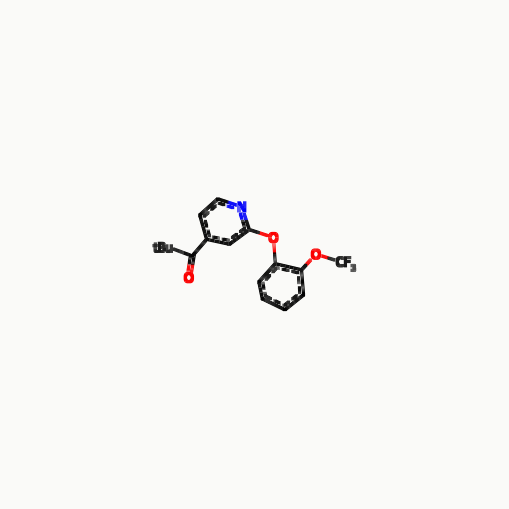 CC(C)(C)C(=O)c1ccnc(Oc2ccccc2OC(F)(F)F)c1